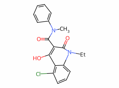 CCn1c(=O)c(C(=O)N(C)c2ccccc2)c(O)c2c(Cl)cccc21